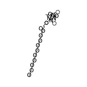 C=C(C)Cn1c(-c2ccc(/C=C/C(=O)OCCOCCOCCOCCOCCOCCOCCOCCOCCOC)cc2)nc2c1c(=O)n(CC1CCCCC1)c(=O)n2CC1CCCCC1